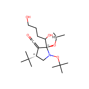 C[SiH](C)O[C@]1(C(O)CCCO)C(=C=O)[C@@H](C(C)(C)C)CN1OC(C)(C)C